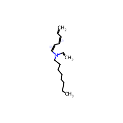 C=C/C=C\C=C/N(C=C)CCCCCCCC